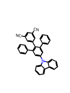 N#Cc1cc(C#N)cc(-c2c(-c3ccccc3)cc(-n3c4ccccc4c4ccccc43)cc2-c2ccccc2)c1